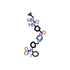 O=C(NCC1CC1)Nc1ccc(C(=O)N2CCN(Cc3cccc(N(C(=O)C(F)(F)F)C4CCCCC4)c3)CC2)cc1F